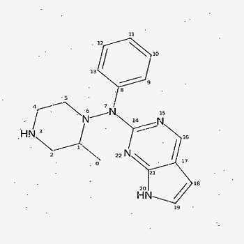 CC1CNCCN1N(c1ccccc1)c1ncc2cc[nH]c2n1